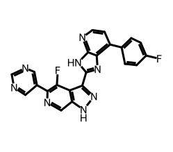 Fc1ccc(-c2ccnc3[nH]c(-c4n[nH]c5cnc(-c6cncnc6)c(F)c45)nc23)cc1